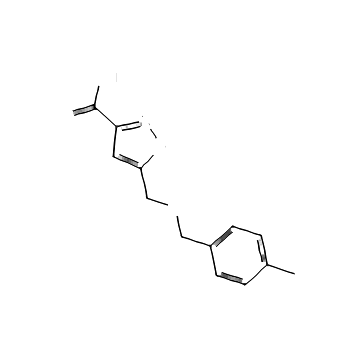 Cc1ccc(COCc2cc(C(=O)O)no2)cc1